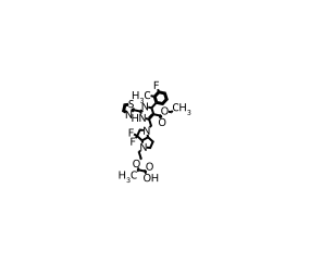 CCOC(=O)C1=C(CN2CC(F)(F)C3C2CCN3CCOC(C)C(=O)O)NC(c2nccs2)=NC1c1cccc(F)c1C